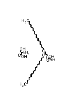 CCCCCCCCCCCCCCCCCCOCC(COP(=O)(O)O)OCCCCCCCCCCCCCCCCCC.NC(CO)C(=O)O